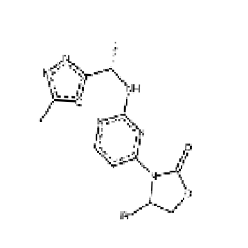 Cc1nnc([C@H](C)Nc2nccc(N3C(=O)OCC3C(C)C)n2)o1